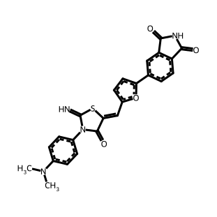 CN(C)c1ccc(N2C(=N)S/C(=C\c3ccc(-c4ccc5c(c4)C(=O)NC5=O)o3)C2=O)cc1